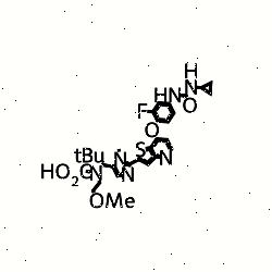 COCCN(C(=O)O)C(c1cnc(-c2cc3nccc(Oc4ccc(NC(=O)NC5CC5)cc4F)c3s2)n1C)C(C)(C)C